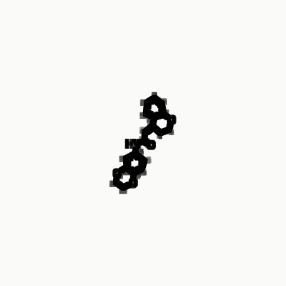 O=C(C=C1CCOc2ccccc21)Nc1ccc2c(c1)OCCO2